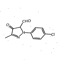 CC1=NN(c2ccc(Cl)cc2)C(C=O)C1=O